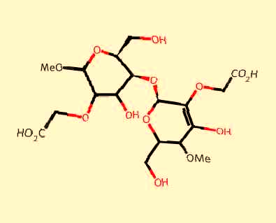 COC1O[C@@H](CO)[C@@H](O[C@@H]2OC(CO)C(OC)C(O)=C2OCC(=O)O)C(O)C1OCC(=O)O